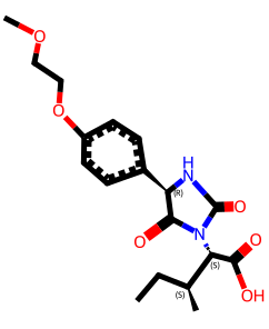 CC[C@H](C)[C@@H](C(=O)O)N1C(=O)N[C@H](c2ccc(OCCOC)cc2)C1=O